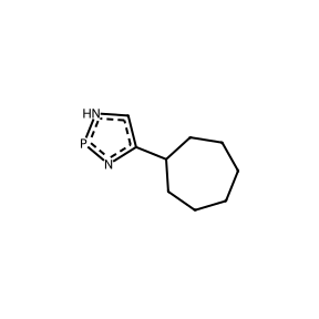 c1[nH]pnc1C1CCCCCC1